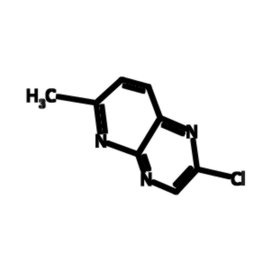 Cc1ccc2nc(Cl)cnc2n1